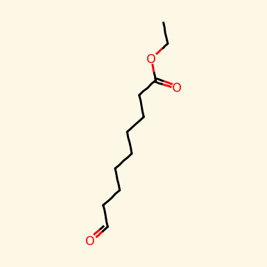 CCOC(=O)CCCCCCCC=O